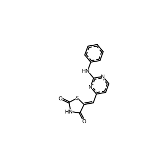 O=C1NC(=O)C(=Cc2ccnc(Nc3ccccc3)n2)S1